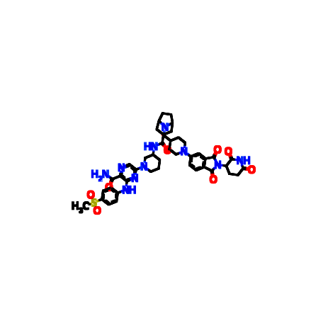 CS(=O)(=O)c1ccc(Nc2nc(N3CCCC(NC(=O)C4CC5CCC(C4)N5CC4CCN(c5ccc6c(c5)C(=O)N(C5CCC(=O)NC5=O)C6=O)CC4)C3)cnc2C(N)=O)cc1